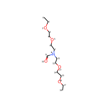 CCOCCOCCN(C=O)CCOCCOCC